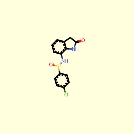 O=C1Cc2cccc(N[S+]([O-])c3ccc(Cl)cc3)c2N1